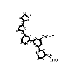 O=COc1ccnc(-c2cc(OC=O)cc(-c3cc(-c4ccc(-c5cccs5)s4)ccn3)n2)c1